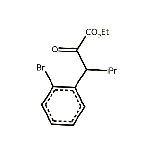 CCOC(=O)C(=O)C(c1ccccc1Br)C(C)C